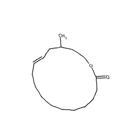 CC1C/C=C/CCCCCCCCCC(=O)OCC1